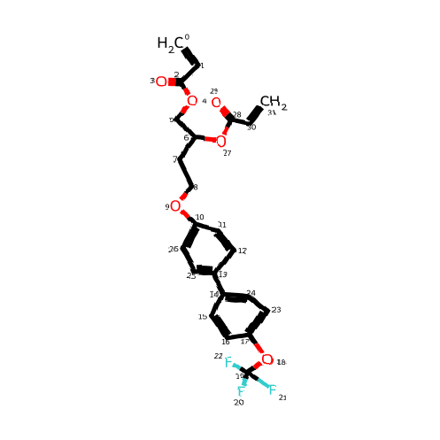 C=CC(=O)OCC(CCOc1ccc(-c2ccc(OC(F)(F)F)cc2)cc1)OC(=O)C=C